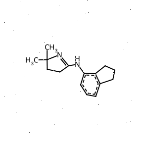 CC1(C)CCC(Nc2cccc3c2CCC3)=N1